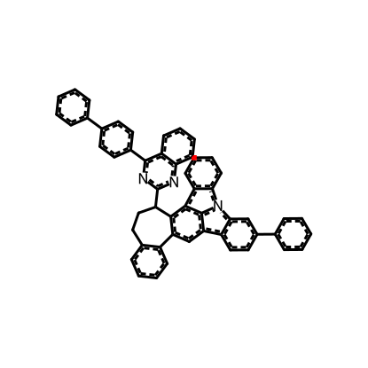 c1ccc(-c2ccc(-c3nc(C4CCc5ccccc5-c5cc6c7ccc(-c8ccccc8)cc7n7c8ccccc8c(c54)c67)nc4ccccc34)cc2)cc1